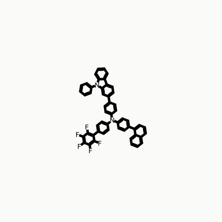 Fc1c(F)c(F)c(-c2ccc(N(c3ccc(-c4ccc5c6ccccc6n(-c6ccccc6)c5c4)cc3)c3ccc(-c4cccc5ccccc45)cc3)cc2)c(F)c1F